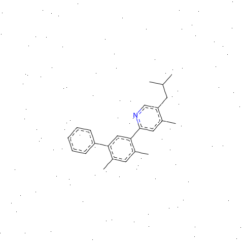 Cc1cc(-c2cc(-c3ccccc3)c(C)cc2C)ncc1CC(C)C